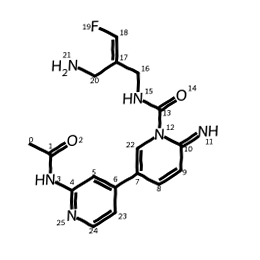 CC(=O)Nc1cc(-c2ccc(=N)n(C(=O)NC/C(=C/F)CN)c2)ccn1